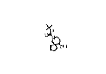 CC(C)(C)OC(=O)N1CCC(O)C2(CCCC2)C1